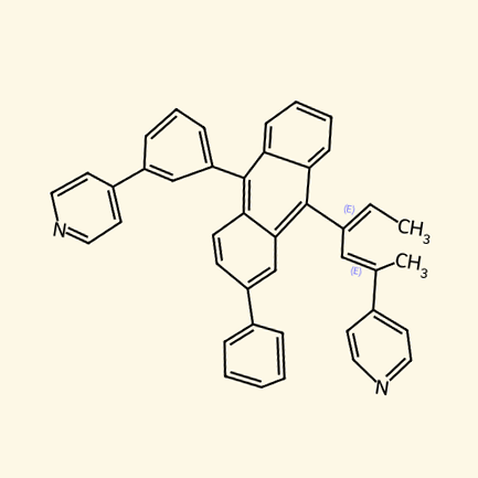 C/C=C(\C=C(/C)c1ccncc1)c1c2ccccc2c(-c2cccc(-c3ccncc3)c2)c2ccc(-c3ccccc3)cc12